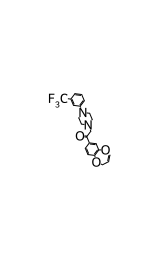 O=C(CN1CCN(c2cccc(C(F)(F)F)c2)CC1)c1ccc2c(c1)OC=CCO2